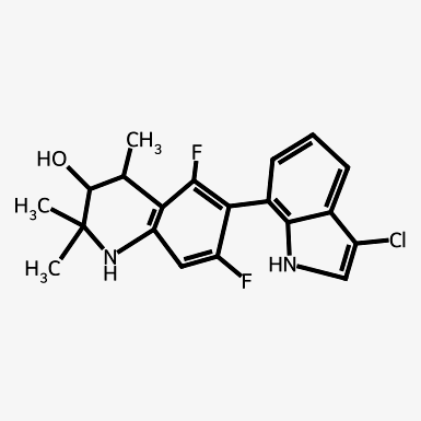 CC1c2c(cc(F)c(-c3cccc4c(Cl)c[nH]c34)c2F)NC(C)(C)C1O